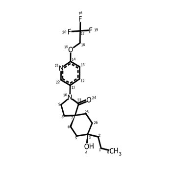 CCC[C@]1(O)CC[C@]2(CCN(c3ccc(OCC(F)(F)F)nc3)C2=O)CC1